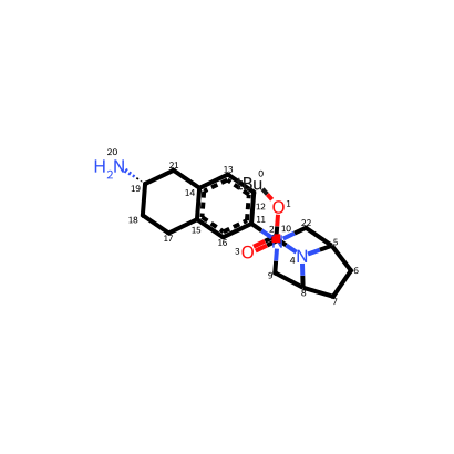 CC(C)(C)OC(=O)N1C2CCC1CN(c1ccc3c(c1)CC[C@H](N)C3)C2